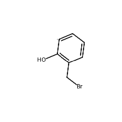 Oc1[c]cccc1CBr